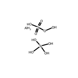 O=S(=O)(O)OO.O[Si](O)(O)O.[AlH3]